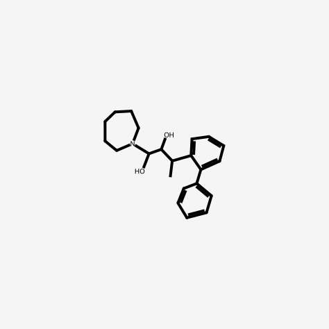 CC(c1ccccc1-c1ccccc1)C(O)C(O)N1CCCCCC1